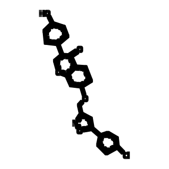 O=c1c(-c2ccc(O)cc2)coc2cc(OCc3cc(-c4ccc(Cl)cc4)on3)ccc12